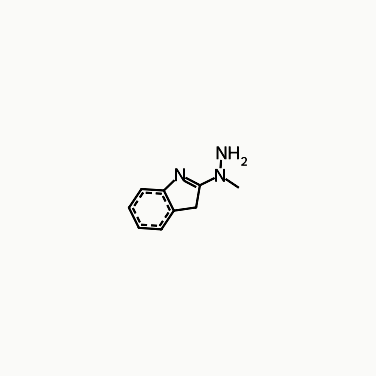 CN(N)C1=Nc2ccccc2C1